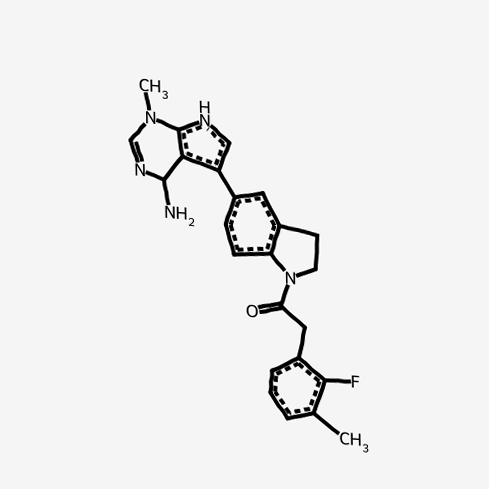 Cc1cccc(CC(=O)N2CCc3cc(-c4c[nH]c5c4C(N)N=CN5C)ccc32)c1F